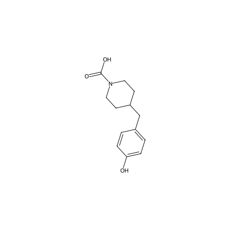 O=C(O)N1CCC(Cc2ccc(O)cc2)CC1